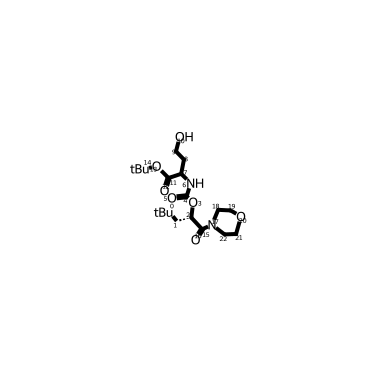 CC(C)(C)C[C@H](OC(=O)NC(CCO)C(=O)OC(C)(C)C)C(=O)N1CCOCC1